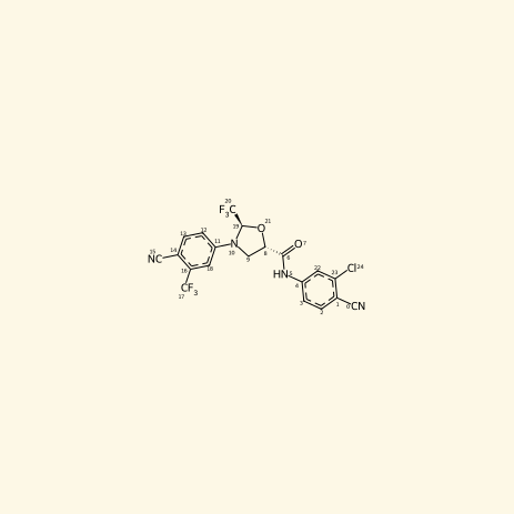 N#Cc1ccc(NC(=O)[C@@H]2CN(c3ccc(C#N)c(C(F)(F)F)c3)[C@@H](C(F)(F)F)O2)cc1Cl